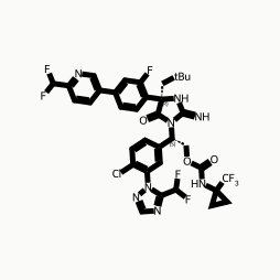 CC(C)(C)C[C@]1(c2ccc(-c3ccc(C(F)F)nc3)cc2F)NC(=N)N([C@H](COC(=O)NC2(C(F)(F)F)CC2)c2ccc(Cl)c(-n3ncnc3C(F)F)c2)C1=O